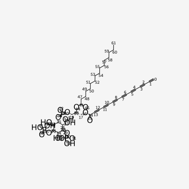 C#CC#CC#CC#CC#CC#CC#CC(=O)OC[C@H](COP(=O)(O)OC1C(O)[C@@H](OP(=O)(O)O)C(O)[C@@H](OP(=O)(O)O)[C@H]1O)OC(=O)CCCCCCCCCCCCCCC